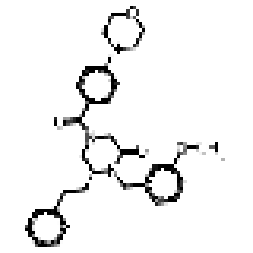 COc1cccc(CN2C(=O)CN(C(=O)c3ccc(N4CCOCC4)cc3)C[C@@H]2CCc2ccccc2)c1